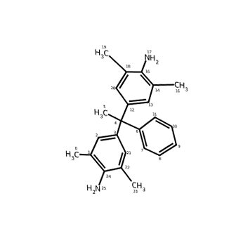 Cc1cc(C(C)(c2ccccc2)c2cc(C)c(N)c(C)c2)cc(C)c1N